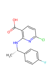 C[C@H](Nc1nc(Cl)ccc1C(=O)O)c1ccc(F)cc1